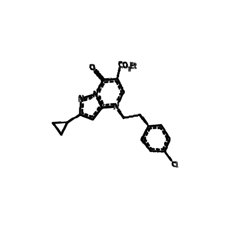 CCOC(=O)c1cn(CCc2ccc(Cl)cc2)c2cc(C3CC3)nn2c1=O